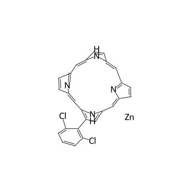 Clc1cccc(Cl)c1-c1cc2cc3nc(cc4ccc(cc5nc(cc1[nH]2)C=C5)[nH]4)C=C3.[Zn]